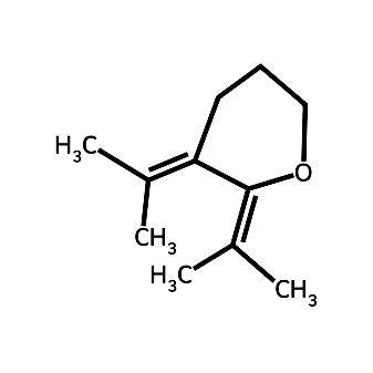 CC(C)=C1CCCOC1=C(C)C